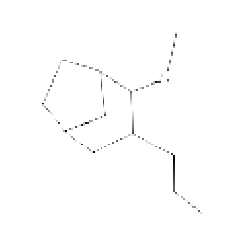 CCCC1CC2CCC(C2)C1NC